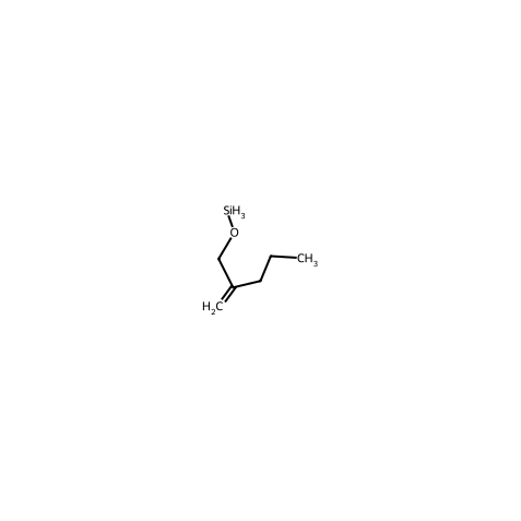 C=C(CCC)CO[SiH3]